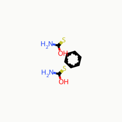 NC(O)=S.NC(O)=S.c1ccccc1